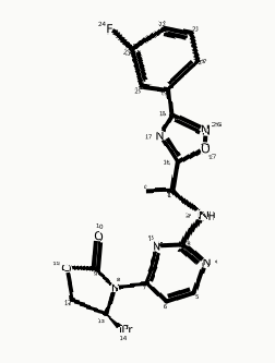 CC(Nc1nccc(N2C(=O)OC[C@@H]2C(C)C)n1)c1nc(-c2cccc(F)c2)no1